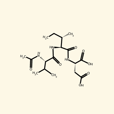 CC[C@H](C)[C@H](NC(=O)[C@@H](NC(C)=O)C(C)C)C(=O)N[C@@H](CC(=O)O)C(=O)O